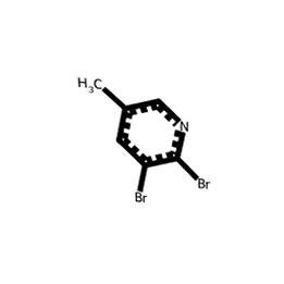 Cc1cnc(Br)c(Br)c1